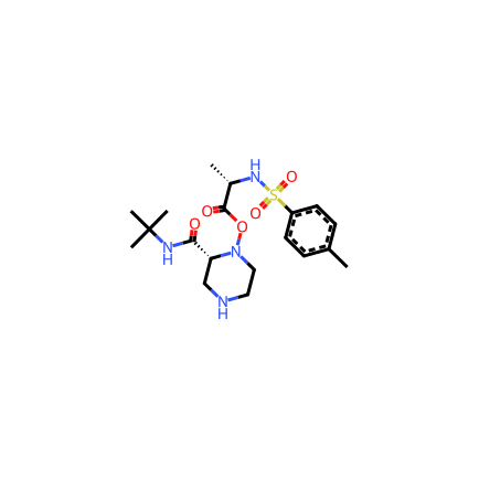 Cc1ccc(S(=O)(=O)N[C@@H](C)C(=O)ON2CCNC[C@@H]2C(=O)NC(C)(C)C)cc1